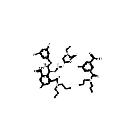 CCCN(CCC)C(=O)c1cc(C)cc(C(=O)O)c1.CCCN(CCC)C(=O)c1cc(C)cc(C(=O)O)c1[C@H](CNC[C@@H]1CN(CC)C(=O)O1)[C@@H](N)Cc1cc(F)cc(F)c1